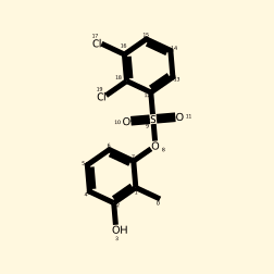 Cc1c(O)cccc1OS(=O)(=O)c1cccc(Cl)c1Cl